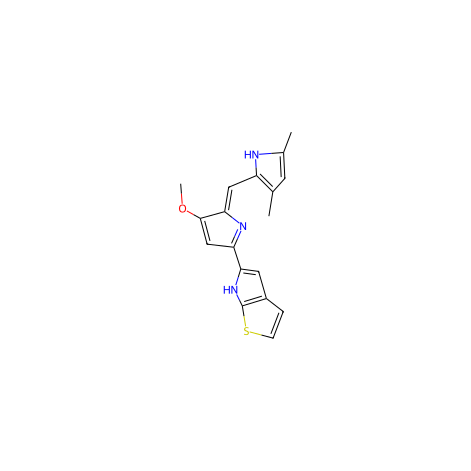 COC1=CC(c2cc3ccsc3[nH]2)=NC1=Cc1[nH]c(C)cc1C